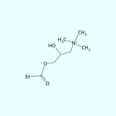 CCC(=O)OCC(O)C[N+](C)(C)C